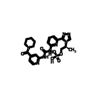 C[C@H](COP(=O)(O)O)n1cnnc1-c1cccc(NC(=O)Nc2cc(C(=O)N3CCCCC3)ccn2)n1